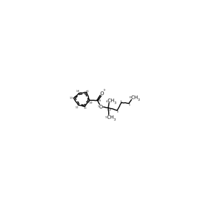 CCCCC(C)(C)OC(=O)c1ccccc1